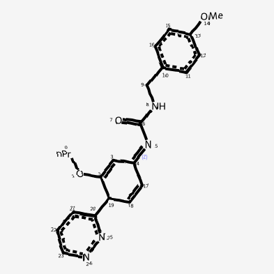 CCCOC1=C/C(=N\C(=O)NCc2ccc(OC)cc2)C=CC1c1cccnn1